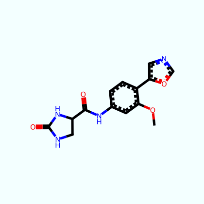 COc1cc(NC(=O)C2CNC(=O)N2)ccc1-c1cnco1